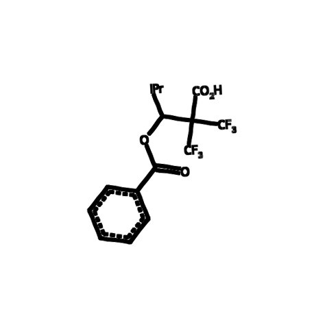 CC(C)C(OC(=O)c1ccccc1)C(C(=O)O)(C(F)(F)F)C(F)(F)F